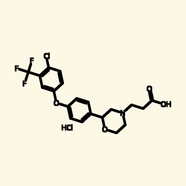 Cl.O=C(O)CCN1CCOC(c2ccc(Oc3ccc(Cl)c(C(F)(F)F)c3)cc2)C1